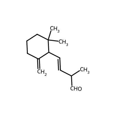 C=C1CCCC(C)(C)C1/C=C/C(C)C=O